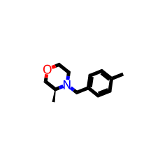 Cc1ccc(CN2CCOC[C@@H]2C)cc1